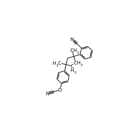 CC(C)(CC(C)(C)c1ccccc1C#N)c1ccc(OC#N)cc1